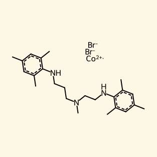 Cc1cc(C)c(NCCCN(C)CCNc2c(C)cc(C)cc2C)c(C)c1.[Br-].[Br-].[Co+2]